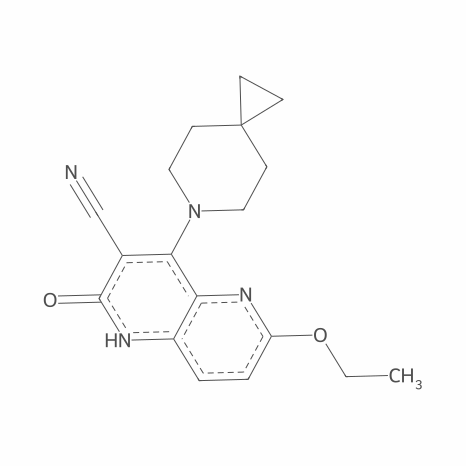 CCOc1ccc2[nH]c(=O)c(C#N)c(N3CCC4(CC3)CC4)c2n1